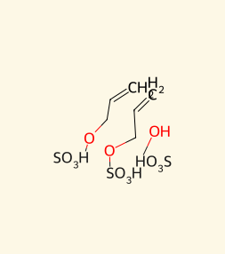 C=CCOS(=O)(=O)O.C=CCOS(=O)(=O)O.O=S(=O)(O)O